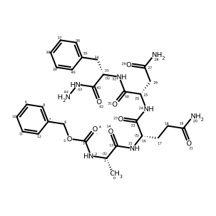 C[C@H](NC(=O)OCc1ccccc1)C(=O)N[C@@H](CCC(N)=O)C(=O)N[C@@H](CC(N)=O)C(=O)N[C@@H](Cc1ccccc1)C(=O)NN